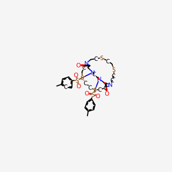 Cc1ccc(S(=O)(=O)N2CCN(S(=O)(=O)c3ccc(C)cc3)CC(=O)N3CCSCCSCCN(CCSCCSCC3)C(=O)C2)cc1